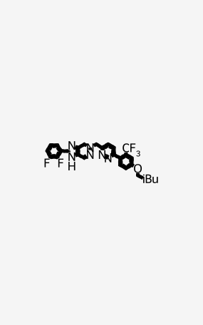 CCC(C)COc1ccc(-c2ccc(CN3Cc4nc(-c5cccc(F)c5F)[nH]c4C=N3)nn2)c(C(F)(F)F)c1